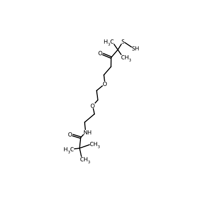 CC(C)(C)C(=O)NCCOCCOCCC(=O)C(C)(C)SS